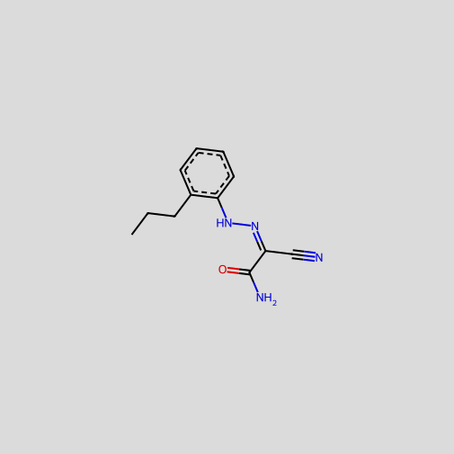 CCCc1ccccc1NN=C(C#N)C(N)=O